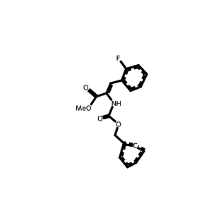 COC(=O)/C(=C/c1ccccc1F)NC(=O)OCc1ccccc1